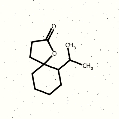 CC(C)C1CCCCC12CCC(=O)O2